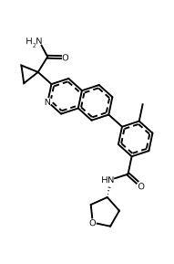 Cc1ccc(C(=O)N[C@@H]2CCOC2)cc1-c1ccc2cc(C3(C(N)=O)CC3)ncc2c1